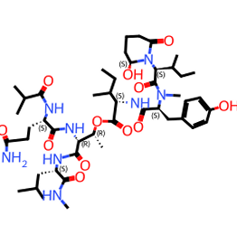 CCC(C)[C@H](NC(=O)[C@H](Cc1ccc(O)cc1)N(C)C(=O)[C@H](C(C)CC)N1C(=O)CCC[C@@H]1O)C(=O)O[C@H](C)[C@@H](NC(=O)[C@H](CCC(N)=O)NC(=O)C(C)C)C(=O)N[C@@H](CC(C)C)C(=O)NC